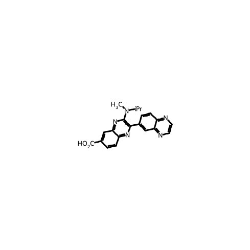 CC(C)N(C)c1nc2cc(C(=O)O)ccc2nc1-c1ccc2nccnc2c1